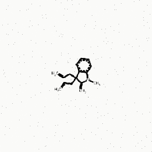 C=CCC1(CC=C)C(=C)N(C)c2ccccc21